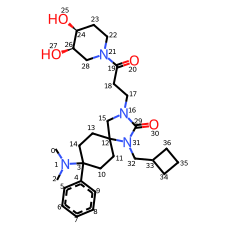 CN(C)C1(c2ccccc2)CCC2(CC1)CN(CCC(=O)N1CC[C@H](O)[C@H](O)C1)C(=O)N2CC1CCC1